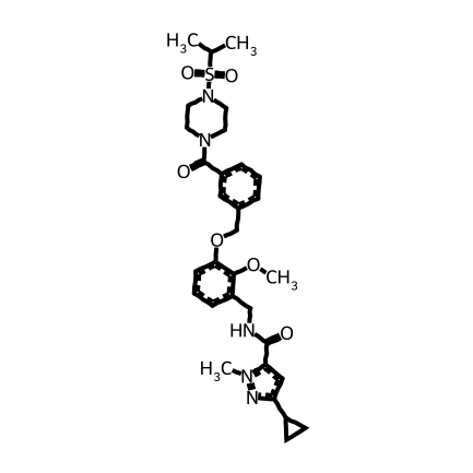 COc1c(CNC(=O)c2cc(C3CC3)nn2C)cccc1OCc1cccc(C(=O)N2CCN(S(=O)(=O)C(C)C)CC2)c1